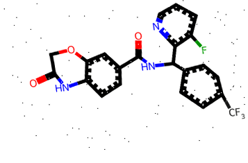 O=C1COc2cc(C(=O)NC(c3ccc(C(F)(F)F)cc3)c3ncccc3F)ccc2N1